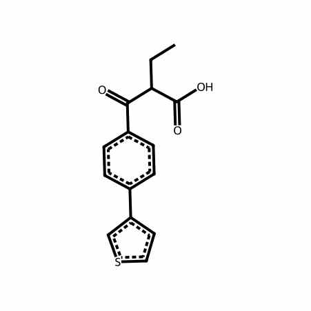 CCC(C(=O)O)C(=O)c1ccc(-c2ccsc2)cc1